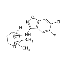 CC1(C)[C@H](Nc2noc3cc(Cl)c(F)cc23)C2CCN1CC2